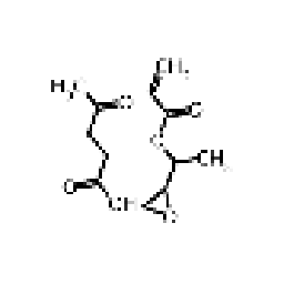 C=CC(=O)OC(C)C1CO1.CC(=O)CCC(=O)O